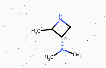 CC1NC[C@@H]1N(C)C